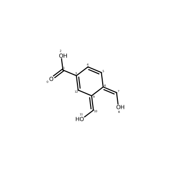 O=C(O)c1ccc(=CO)c(=CO)c1